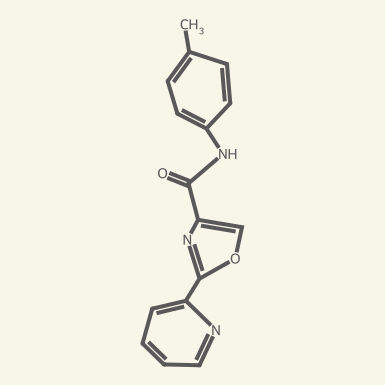 Cc1ccc(NC(=O)c2coc(-c3ccccn3)n2)cc1